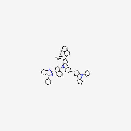 CC1(C)c2cc3c(cc2-c2ccc4ccccc4c21)c1cc(-c2ccc4c(c2)c2ccccc2n4-c2ccccc2)ccc1n3-c1ccc(-c2nc(-c3ccccc3)c3ccccc3n2)c2ccccc12